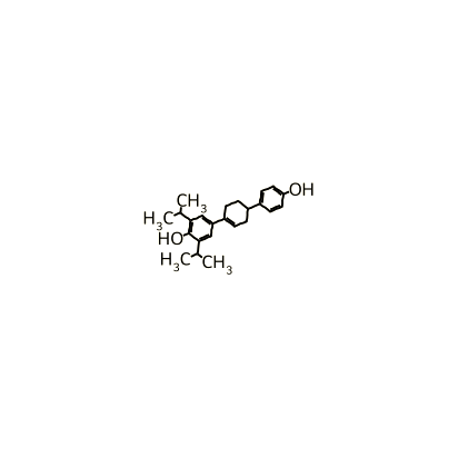 CC(C)c1cc(C2=CCC(c3ccc(O)cc3)CC2)cc(C(C)C)c1O